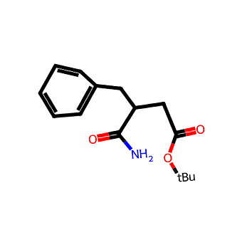 CC(C)(C)OC(=O)CC(Cc1ccccc1)C(N)=O